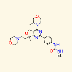 CCNC(=O)Nc1ccc(-c2nc(N3CCOCC3C)c3c(n2)C(C)(CCN2CCOCC2)OC3)cc1